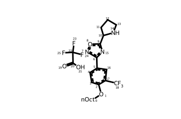 CCCCCCCCOc1ccc(-c2noc(C3CCCN3)n2)cc1C(F)(F)F.O=C(O)C(F)(F)F